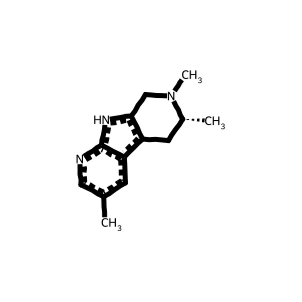 Cc1cnc2[nH]c3c(c2c1)C[C@@H](C)N(C)C3